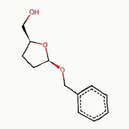 OC[C@@H]1CC[C@H](OCc2ccccc2)O1